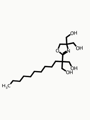 CCCCCCCCCCC(CO)(CO)C1=NC(CO)(CO)CO1